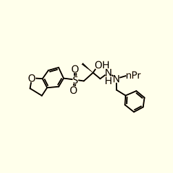 CCCN(Cc1ccccc1)NC[C@@](C)(O)CS(=O)(=O)c1ccc2c(c1)CCO2